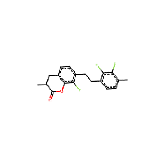 Cc1ccc(CCc2ccc3c(c2F)OC(=O)C(C)C3)c(F)c1F